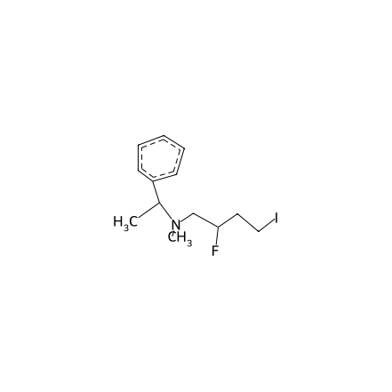 CC(c1ccccc1)N(C)CC(F)CCI